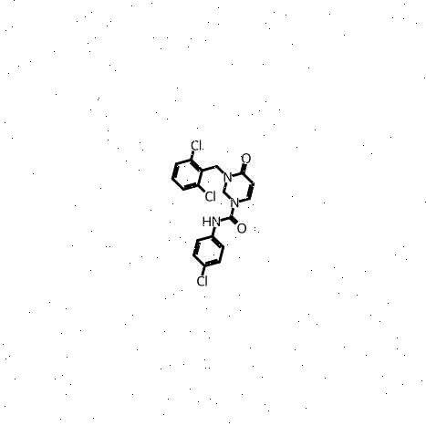 O=C(Nc1ccc(Cl)cc1)N1C=CC(=O)N(Cc2c(Cl)cccc2Cl)C1